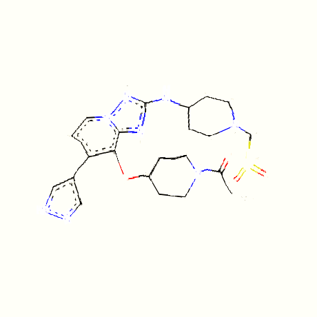 COC(=O)N1CCC(Oc2c(-c3cn[nH]c3)ccn3nc(NC4CCN(C[SH](=O)=O)CC4)nc23)CC1